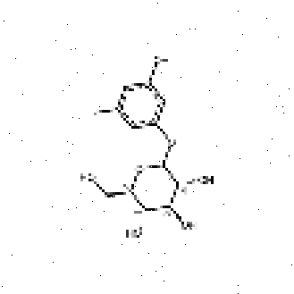 Cc1cc(O)cc(OC2O[C@H](CO)[C@@H](O)[C@H](O)[C@H]2O)c1